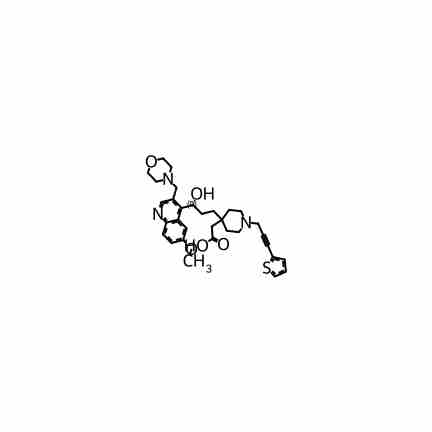 COc1ccc2ncc(CN3CCOCC3)c([C@H](O)CCC3(CC(=O)O)CCN(CC#Cc4cccs4)CC3)c2c1